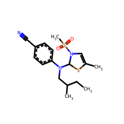 CCC(C)CN(c1ccc(C#N)cc1)C1SC(C)=CN1S(C)(=O)=O